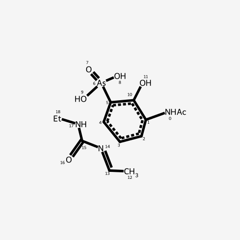 CC(=O)Nc1cccc([As](=O)(O)O)c1O.CC=NC(=O)NCC